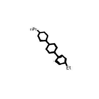 CCCC1CCC(C2CCC(c3[c]cc(CC)cc3)CC2)CC1